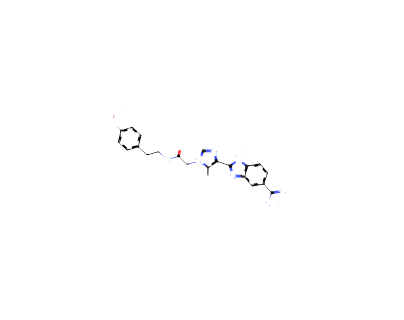 COc1ccc(CCNC(=O)Cn2cnc(-c3nc4cc(C(=N)N)ccc4[nH]3)c2C)cc1